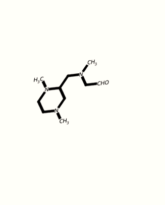 CN(CC=O)CC1CN(C)CCN1C